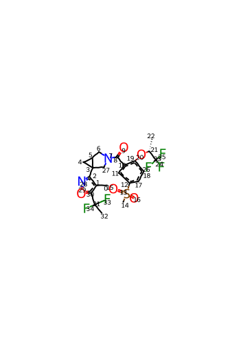 Cc1c(C23CC2CN(C(=O)c2cc(S(C)(=O)=O)ccc2O[C@H](C)C(F)(F)F)C3)noc1C(C)(F)F